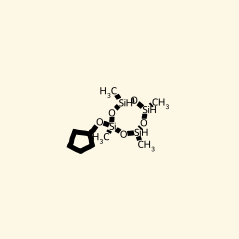 C[SiH]1O[SiH](C)O[Si](C)(OC2CCCC2)O[SiH](C)O1